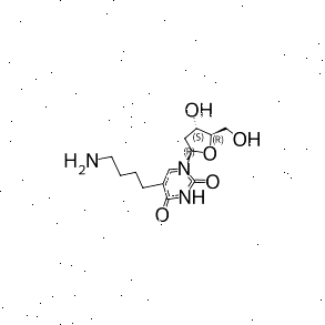 NCCCCc1cn([C@H]2C[C@H](O)[C@@H](CO)O2)c(=O)[nH]c1=O